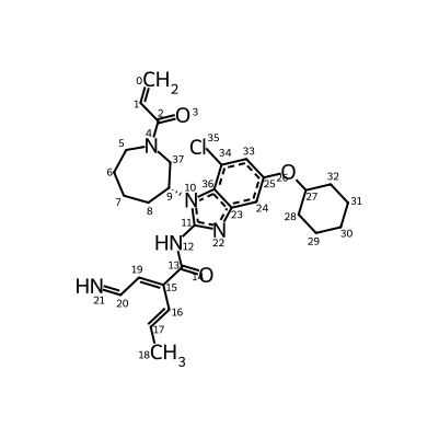 C=CC(=O)N1CCCC[C@@H](n2c(NC(=O)C(/C=C/C)=C/C=N)nc3cc(OC4CCCCC4)cc(Cl)c32)C1